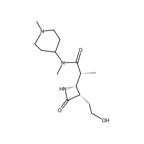 C[C@@H](C(=O)N(C)C1CCN(C)CC1)[C@H]1NC(=O)[C@H]1CCO